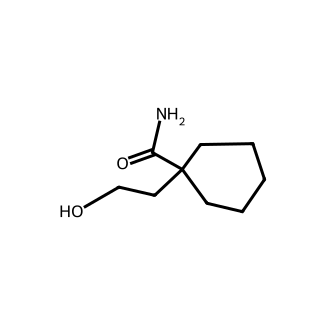 NC(=O)C1(CCO)CCCCC1